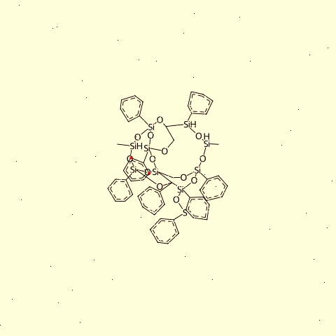 C[SiH]1O[Si]2(c3ccccc3)OC3CO[Si](c4ccccc4)(O2)O[Si]24CO[Si](c5ccccc5)(O[SiH](C)O[SiH]3c3ccccc3)O[Si](OSc3ccccc3)(c3ccccc3)C2(c2ccccc2)O[Si](c2ccccc2)(O1)O4